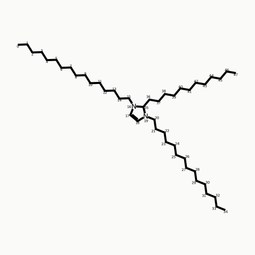 CCCCCCCCCCCCCCCCN1C=CN(CCCCCCCCCCCCCCC)C1CCCCCCCCCCCC